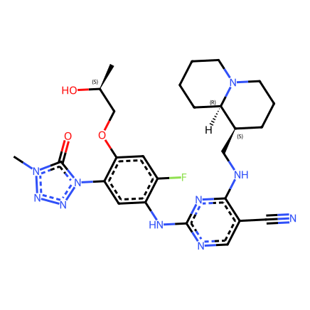 C[C@H](O)COc1cc(F)c(Nc2ncc(C#N)c(NC[C@@H]3CCCN4CCCC[C@H]34)n2)cc1-n1nnn(C)c1=O